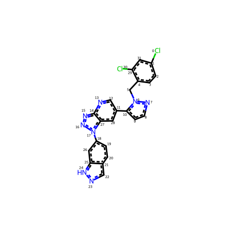 Clc1ccc(Cn2nccc2-c2cnc3nnn(-c4ccc5cn[nH]c5c4)c3c2)c(Cl)c1